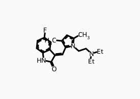 CCN(CC)CCn1c(C)cc(C)c1C=C1C(=O)Nc2ccc(F)cc21